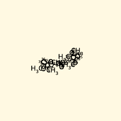 COc1c(C)c(CCCO[N+](=O)OCCCc2c(C)c(OC)c3ccccc3c2OC)c(OC)c2ccccc12